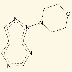 c1ncc2cnn(N3CCOCC3)c2n1